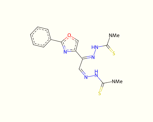 CNC(=S)N/N=C\C(=N\NC(=S)NC)c1coc(-c2ccccc2)n1